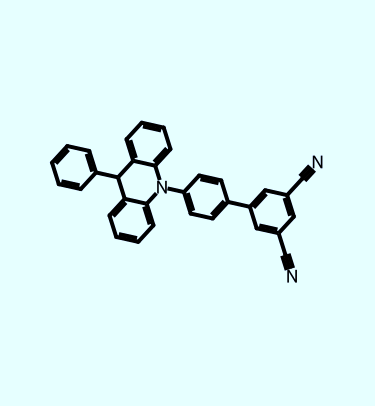 N#Cc1cc(C#N)cc(-c2ccc(N3c4ccccc4C(c4ccccc4)c4ccccc43)cc2)c1